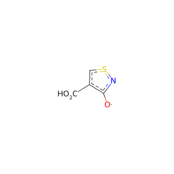 [O]c1nscc1C(=O)O